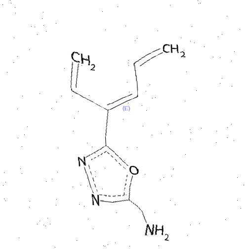 C=C/C=C(\C=C)c1nnc(N)o1